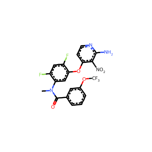 CN(C(=O)c1cccc(OC(F)(F)F)c1)c1cc(Oc2ccnc(N)c2[N+](=O)[O-])c(F)cc1F